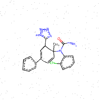 CC1(N(C(N)=O)c2ccccc2Cl)C=CC(c2ccccc2)=CC1c1nnn[nH]1